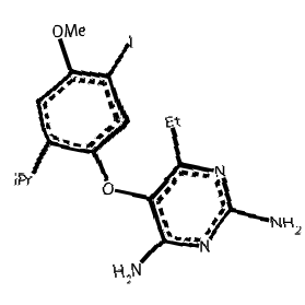 CCc1nc(N)nc(N)c1Oc1cc(I)c(OC)cc1C(C)C